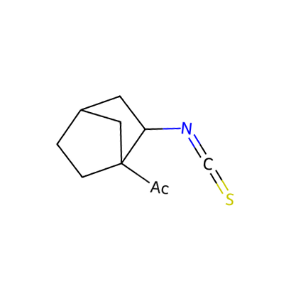 CC(=O)C12CCC(CC1N=C=S)C2